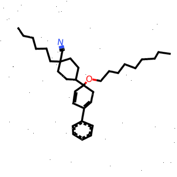 CCCCCCCCCOC1(C2CCC(C#N)(CCCCCC)CC2)C=CC(c2ccccc2)=CC1